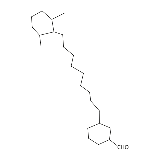 CC1CCCC(C)C1CCCCCCCCCC1CCCC(C=O)C1